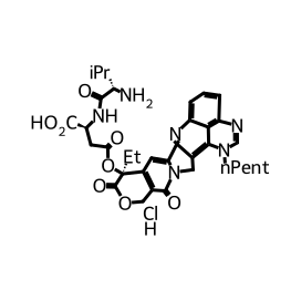 CCCCCN1C=Nc2cccc3nc4c(c1c23)Cn1c-4cc2c(c1=O)COC(=O)[C@@]2(CC)OC(=O)C[C@H](NC(=O)[C@@H](N)C(C)C)C(=O)O.Cl